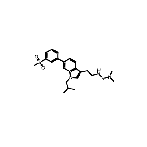 CC(C)Cn1cc(CCNSN(C)C)c2ccc(-c3cccc(S(C)(=O)=O)c3)cc21